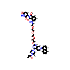 C=CC(=O)N1CCN(c2nc(OCCOCCOCCOCCNc3cccc4c3C(=O)N(C3CCC(=O)NC3=O)C4=O)nc3c2CCN(c2cccc4ccccc24)C3)C[C@H]1C